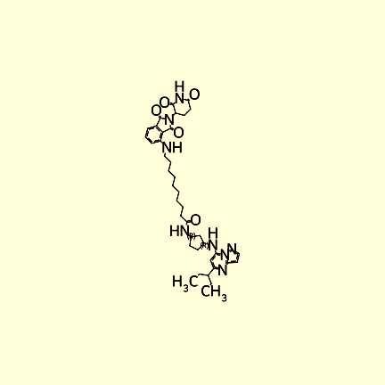 CCC(CC)c1cc(N[C@@H]2CC[C@@H](NC(=O)CCCCCCCCCNc3cccc4c3C(=O)N(C3CCC(=O)NC3=O)C4=O)C2)n2nccc2n1